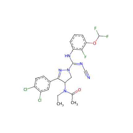 CCN(C(C)=O)C1CN(/C(=N\C#N)Nc2cccc(OC(F)F)c2F)N=C1c1ccc(Cl)c(Cl)c1